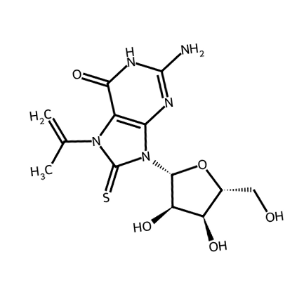 C=C(C)n1c(=S)n([C@@H]2O[C@H](CO)[C@@H](O)[C@H]2O)c2nc(N)[nH]c(=O)c21